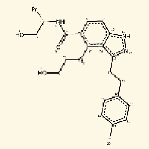 CC(C)[C@@H](CO)NC(=O)c1ccc2[nH]nc(CCc3ccc(F)cc3)c2c1OCCO